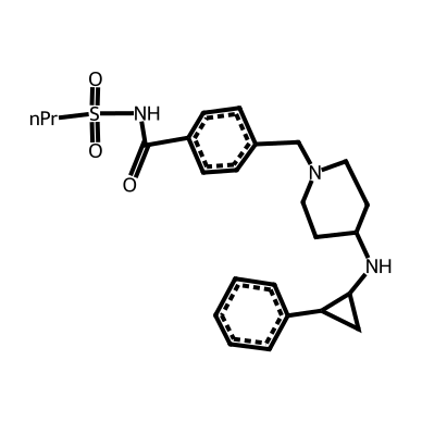 CCCS(=O)(=O)NC(=O)c1ccc(CN2CCC(NC3CC3c3ccccc3)CC2)cc1